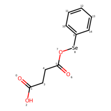 O=C(O)CCC(=O)O[Se]c1ccccc1